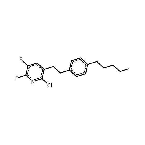 CCCCCc1ccc(CCc2cc(F)c(F)nc2Cl)cc1